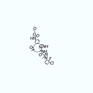 COCCOC(=O)Nc1ccc2c(c1)CC(=O)[C@H](C)CCC[C@H](NC(=O)c1ncn(-c3cccc(Cl)c3F)c1C)c1nc-2c[nH]1